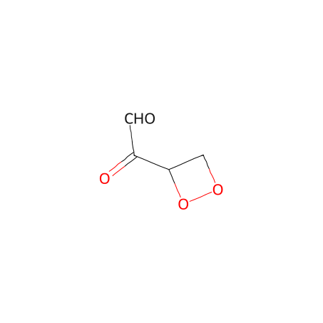 O=CC(=O)C1COO1